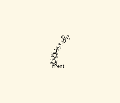 C=C(C)C(=O)OCCCCCCOc1ccc(C2CCC(CCCCC)CC2)cc1